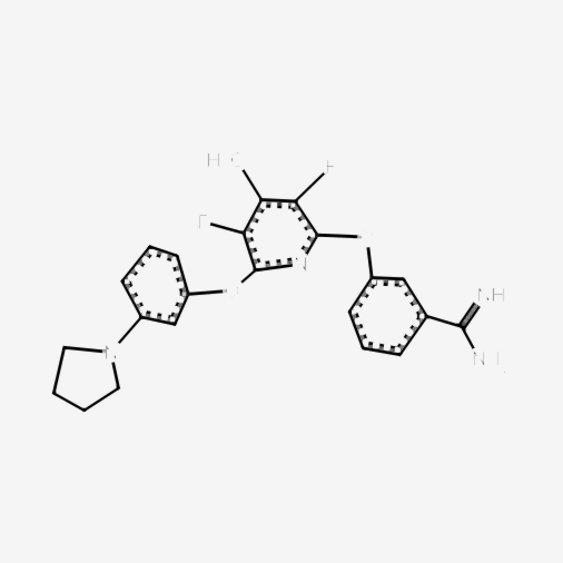 Cc1c(F)c(Oc2cccc(C(=N)N)c2)nc(Oc2cccc(N3CCCC3)c2)c1F